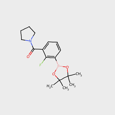 CC1(C)OB(c2cccc(C(=O)N3CCCC3)c2F)OC1(C)C